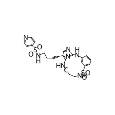 O=S(=O)(NCCC#Cc1cnc2nc1NCCCNS(=O)(=O)c1cccc(c1)N2)c1ccncc1